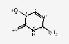 CN1C=NC(N)NC1=O